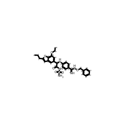 CCCc1cc2cc(C(Nc3ccc(C(=N)NOCc4ccccc4)cc3)C(=O)NS(N)(=O)=O)cc(OCC)c2o1